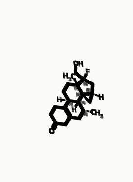 C[C@@H]1CC2=C(CCC(=O)C2)[C@H]2CC[C@]3(C)[C@](F)(CO)C[C@H]4C[C@]43[C@H]12